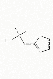 [SiH3]C([SiH3])([SiH3])Cc1nccs1